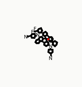 N#Cc1ccc(N(c2ccc3c(c2)C2(c4ccccc4-c4ccccc42)c2cc(N(c4ccc(C#N)cc4)c4ccccc4C(F)(F)F)c4ccccc4c2-3)c2ccccc2C(F)(F)F)cc1